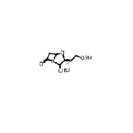 COC/C=C1\OC2CC(=O)N2C1C=O